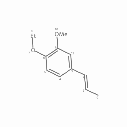 CC=Cc1ccc(OCC)c(OC)c1